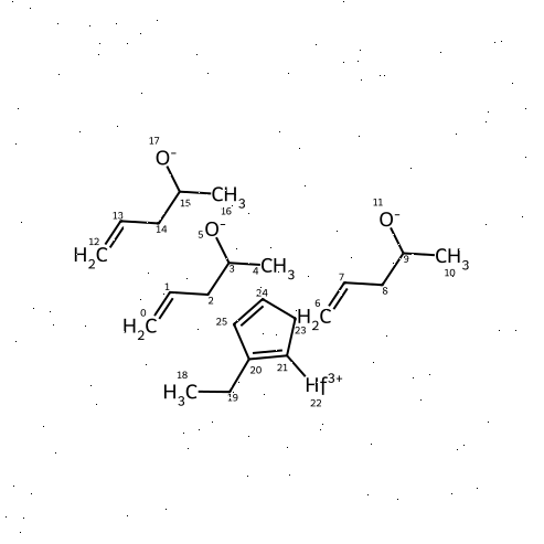 C=CCC(C)[O-].C=CCC(C)[O-].C=CCC(C)[O-].CCC1=[C]([Hf+3])CC=C1